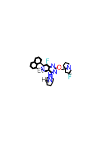 CCc1cccc2cccc(-c3ncc4c(N5CC6CC[C@@H](C5)N6)nc(OC[C@@]56CCCN5C[C@H](F)C6)nc4c3F)c12